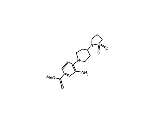 COC(=O)c1ccc(N2CCC(N3CCCS3(=O)=O)CC2)c(N)c1